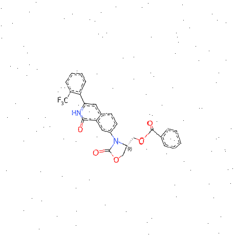 O=C(OC[C@@H]1COC(=O)N1c1ccc2cc(-c3ccccc3C(F)(F)F)[nH]c(=O)c2c1)c1ccccc1